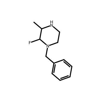 CC1NCCN(Cc2ccccc2)C1F